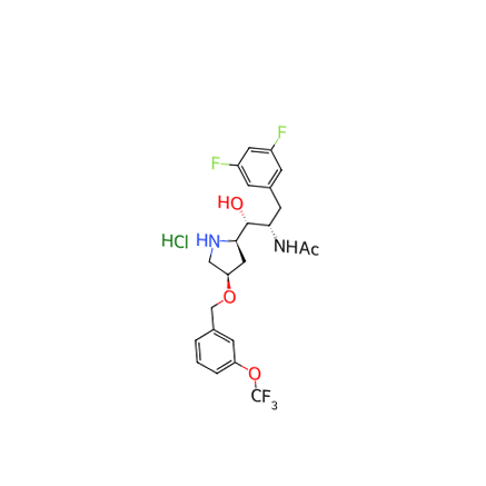 CC(=O)N[C@@H](Cc1cc(F)cc(F)c1)[C@@H](O)[C@H]1C[C@@H](OCc2cccc(OC(F)(F)F)c2)CN1.Cl